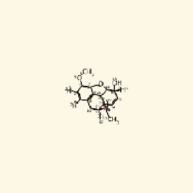 [2H]c1c([2H])c(OC)c2c3c1C[C@]1([2H])[C@@H]4C=CC([2H])(O)C(O2)[C@]34CCN1C